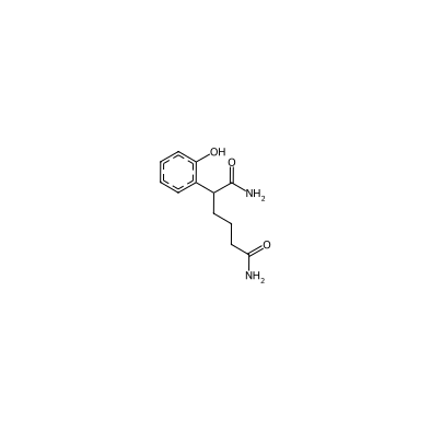 NC(=O)CCCC(C(N)=O)c1ccccc1O